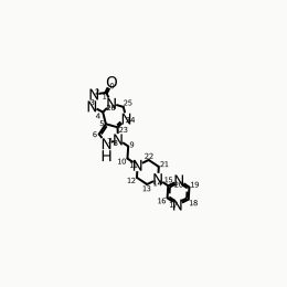 O=C1N=NC2C3=CNN(CCN4CCN(c5cnccn5)CC4)C3=NCN12